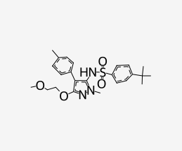 COCCOc1nn(C)c(NS(=O)(=O)c2ccc(C(C)(C)C)cc2)c1-c1ccc(C)cc1